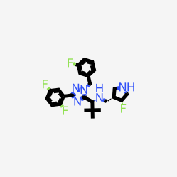 CC(C)(C)[C@@H](NC[C@@H]1CNC[C@@H]1F)c1nc(-c2cc(F)ccc2F)nn1Cc1cccc(F)c1